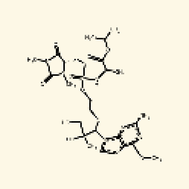 COc1nc(N)nc2c1ncn2[C@H](OCCOP(=O)(N[C@H](C)C(=O)OC(C)C)SC[C@H]1C(=O)N(C)C(=O)N1C)[C@](C)(O)CO